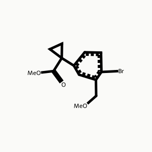 COCc1cc(C2(C(=O)OC)CC2)ccc1Br